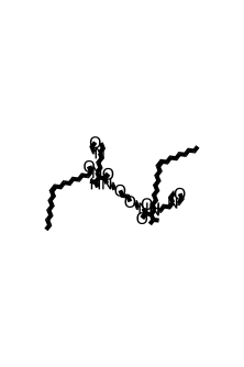 CCCCCCCC/C=C\CCCCCCCC(=O)N(CCCN1CCOCC1)C(C(=O)NCCOCCOCCNC(=O)C(C(C)C)N(CCCN1CCOCC1)C(=O)CCCCCCC/C=C\CCCCCCCC)C(C)C